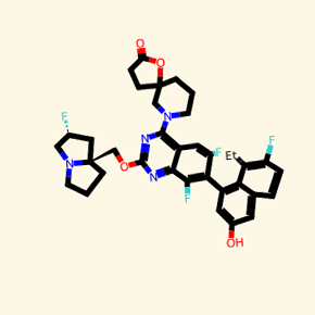 CCc1c(F)ccc2cc(O)cc(-c3c(F)cc4c(N5CCCC6(CCC(=O)O6)C5)nc(OC[C@@]56CCCN5C[C@H](F)C6)nc4c3F)c12